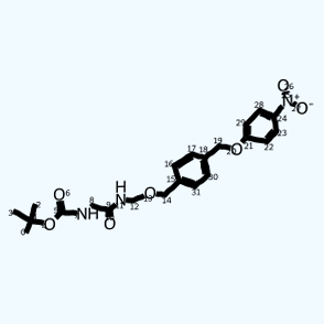 CC(C)(C)OC(=O)NCC(=O)NCOCc1ccc(COc2ccc([N+](=O)[O-])cc2)cc1